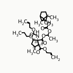 C=CCOC(=O)N[C@@]1(C(=O)OC(C)OC(=O)O[C@@H]2CC3CC[C@@]2(C)C3(C)C)[C@H](OCCC)C[C@H](C)[C@]1(F)C(=O)OCC=C